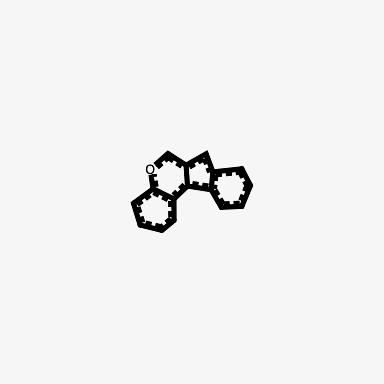 c1ccc2c3c4ccccc4occ-3cc2c1